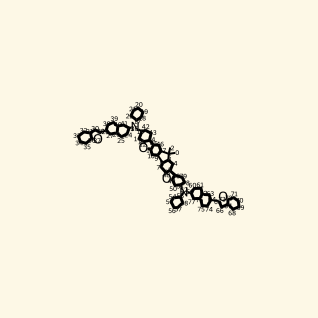 CC1(C)c2cc3c(cc2-c2cc4oc5cc(N(c6ccccc6)c6ccc7cc(-c8cc9ccccc9o8)ccc7c6)ccc5c4cc21)oc1cc(N(c2ccccc2)c2ccc4cc(-c5cc6ccccc6o5)ccc4c2)ccc13